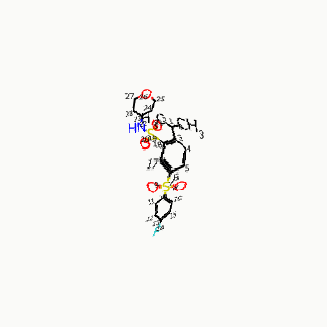 CC(C)c1ccc(S(=O)(=O)c2ccc(F)cc2)cc1S(=O)(=O)NC1CCOCC1